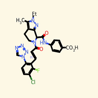 CCn1nc2c(c1C)CCN(C(=O)/C=C/c1c(-n3cnnn3)ccc(Cl)c1F)C2C(=O)Nc1ccc(C(=O)O)cc1